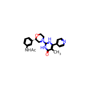 CC(=O)Nc1cccc([C@H]2CN(C3NC(=O)C(C)=C(c4ccncc4)N3)CCO2)c1